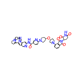 CN1CCC[C@@H]1c1cc2cnc(NC(=O)c3ccc(N4CCC(OC5CCN(c6cccc7c6C(=O)N(C6CCC(=O)NC6=O)C7=O)CC5)CC4)nc3)cc2[nH]1